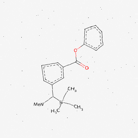 CNC(c1cccc(C(=O)Oc2ccccc2)c1)[Si](C)(C)C